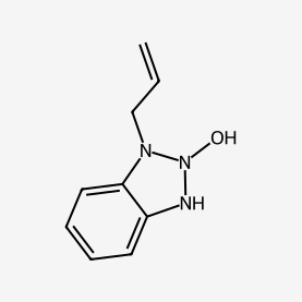 C=CCN1c2ccccc2NN1O